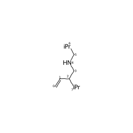 C=CC(CNCC(C)C)C(C)C